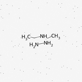 CCNCC.NN